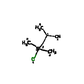 CC(C#N)[Si](C)(C)Cl